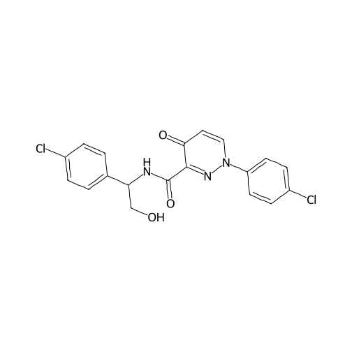 O=C(NC(CO)c1ccc(Cl)cc1)c1nn(-c2ccc(Cl)cc2)ccc1=O